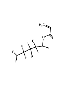 C=CC(=O)OC(F)C(F)(F)C(F)(F)C(F)(F)C(F)F